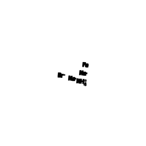 [Br-].[Fe].[NH4+].[Na].[Na]